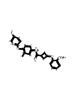 COc1ccccc1OC1CC(C(=O)Nc2ccc(Oc3ccc(F)cn3)c(C)c2)C1